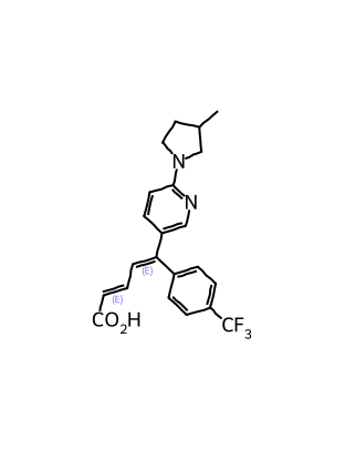 CC1CCN(c2ccc(/C(=C/C=C/C(=O)O)c3ccc(C(F)(F)F)cc3)cn2)C1